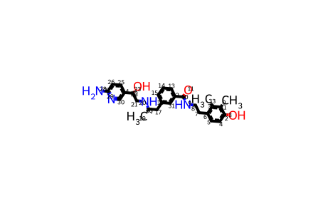 Cc1c(O)ccc(CCNC(=O)c2cccc(C[C@@H](C)NC[C@H](O)c3ccc(N)nc3)c2)c1C